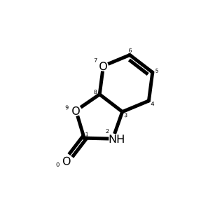 O=C1NC2CC=COC2O1